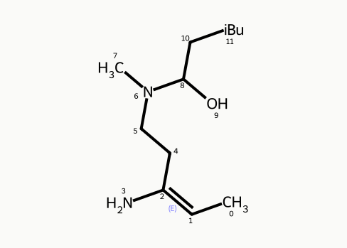 C/C=C(/N)CCN(C)C(O)CC(C)CC